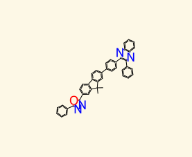 CC1(C)c2cc(-c3ccc(-c4nc5ccccc5nc4-c4ccccc4)cc3)ccc2-c2ccc(-c3nnc(-c4ccccc4)o3)cc21